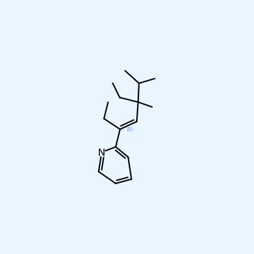 CC/C(=C\C(C)(CC)C(C)C)c1ccccn1